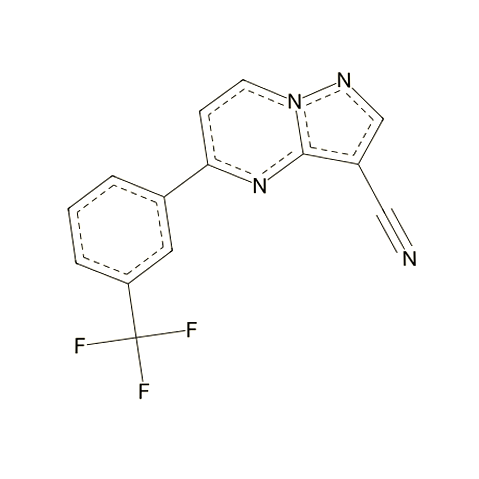 N#Cc1cnn2ccc(-c3cccc(C(F)(F)F)c3)nc12